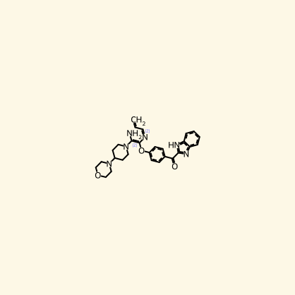 C=C/C=N\C(Oc1ccc(C(=O)c2nc3ccccc3[nH]2)cc1)=C(/N)N1CCC(N2CCOCC2)CC1